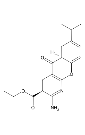 CCOC(=O)[C@H]1CC2=C(N=C1N)OC1=CC=C(C(C)C)C[C@@H]1C2=O